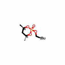 C[C@@H]1C[C@@H](C)OP(=O)(OCC(C)(C)C)O1